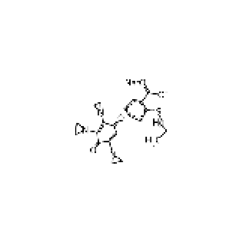 C[CH2][Hg][S]c1ccccc1C(=O)[O-].O=C1C=C(N2CC2)C(=O)C(N2CC2)=C1N1CC1.[Na+]